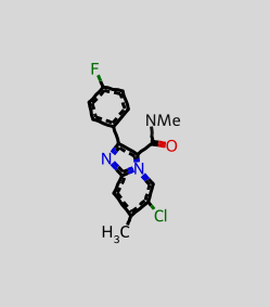 CNC(=O)c1c(-c2ccc(F)cc2)nc2cc(C)c(Cl)cn12